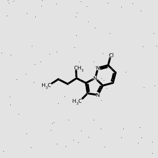 CCCC(C)c1c(C)nc2ccc(Cl)nn12